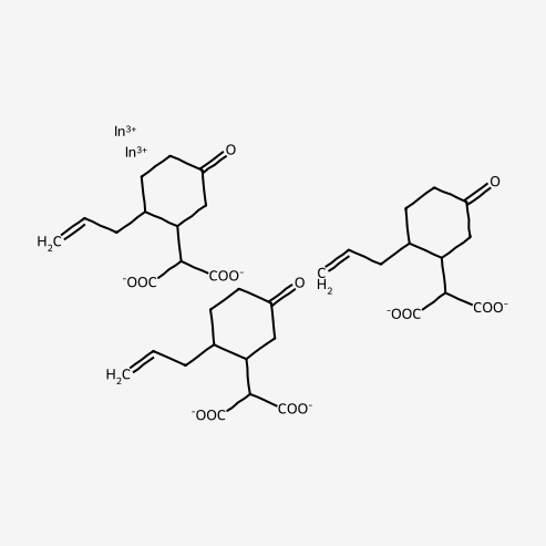 C=CCC1CCC(=O)CC1C(C(=O)[O-])C(=O)[O-].C=CCC1CCC(=O)CC1C(C(=O)[O-])C(=O)[O-].C=CCC1CCC(=O)CC1C(C(=O)[O-])C(=O)[O-].[In+3].[In+3]